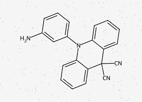 N#CC1(C#N)c2ccccc2N(c2cccc(N)c2)c2ccccc21